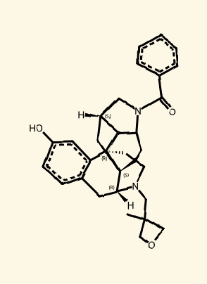 CC1(CN2CC[C@@]34c5cc(O)ccc5C[C@@H]2[C@]32CCC3C4[C@@H](CN3C(=O)c3ccccc3)C2)COC1